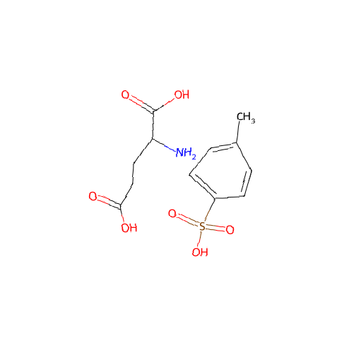 Cc1ccc(S(=O)(=O)O)cc1.NC(CCC(=O)O)C(=O)O